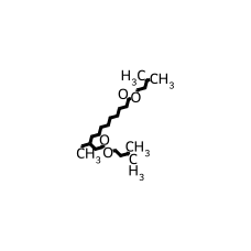 CCC(CCCCCCCCC(=O)OCCC(C)C)CC(=O)OCCC(C)C